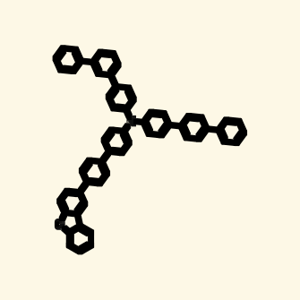 c1ccc(-c2ccc(-c3ccc(N(c4ccc(-c5ccc(-c6ccc7oc8ccccc8c7c6)cc5)cc4)c4ccc(-c5cccc(-c6ccccc6)c5)cc4)cc3)cc2)cc1